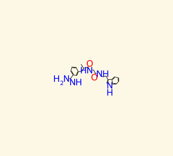 CC(Cc1cccc(C(=N)N)c1)C(=O)NCC(=O)NCCc1c[nH]c2ccccc12